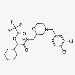 O=C(NCC1CN(Cc2ccc(Cl)c(Cl)c2)CCO1)C(OC(=O)C(F)(F)F)C1CCCCC1